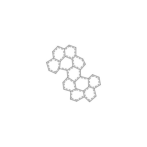 c1cc2ccc3ccc4ccc5c6c7cccc8ccc9ccc%10ccc(c%11c(c1)c2c3c4c5%11)c6c%10c9c87